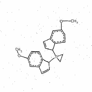 COc1ccc2c(c1)C=C[CH]2[Ti]1([CH]2C=Cc3cc(OC)ccc32)[CH2][CH2]1